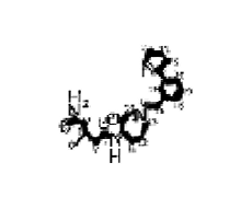 C[C@@H](CC(N)=O)CC(=O)NC1CCCN(CCc2cccc(-c3ccccn3)c2)CC1=O